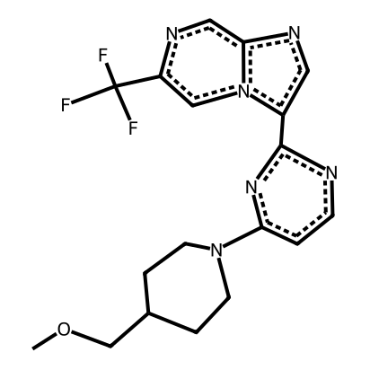 COCC1CCN(c2ccnc(-c3cnc4cnc(C(F)(F)F)cn34)n2)CC1